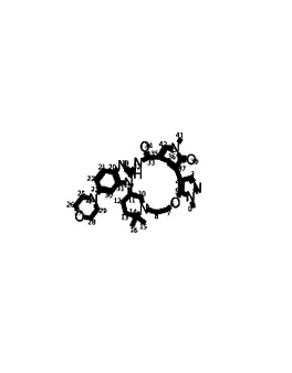 Cn1ncc2c1OCCN1CC(CCC1(C)C)n1c(nc3ccc(N4CCOCC4)cc31)NC(=O)c1cc-2c(=O)n(C)c1